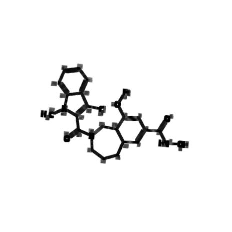 CCOC1=CC(C(=O)NO)=CC2CCCN(C(=O)c3c(Cl)c4ccccc4n3C)CC12